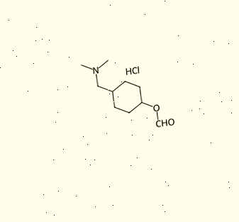 CN(C)CC1CCC(OC=O)CC1.Cl